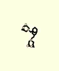 C1CC2CC(CCN(CC3CO3)CC3CO3)CC(CN(CC3CO3)CC3CO3)(C1)C2